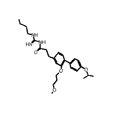 CCCCNC(=N)NC(=O)CCc1ccc(-c2ccc(OC(C)C)cc2)c(OCCCOC)c1